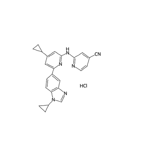 Cl.N#Cc1ccnc(Nc2cc(C3CC3)cc(-c3ccc4c(c3)ncn4C3CC3)n2)c1